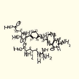 N=C(N)NCCCC(N)C(=O)O.Nc1nc2ncc(CNc3ccc(C(=O)NC(CCC(=O)O)C(=O)O)cc3)nc2c(=O)[nH]1